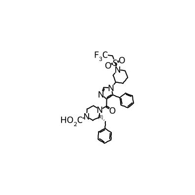 O=C(O)N1CCN(C(=O)c2ncn(C3CCCN(S(=O)(=O)CC(F)(F)F)C3)c2-c2ccccc2)[C@H](Cc2ccccc2)C1